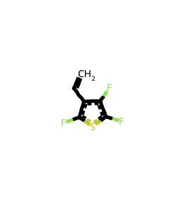 C=Cc1c(F)sc(F)c1F